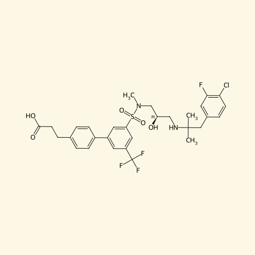 CN(C[C@H](O)CNC(C)(C)Cc1ccc(Cl)c(F)c1)S(=O)(=O)c1cc(-c2ccc(CCC(=O)O)cc2)cc(C(F)(F)F)c1